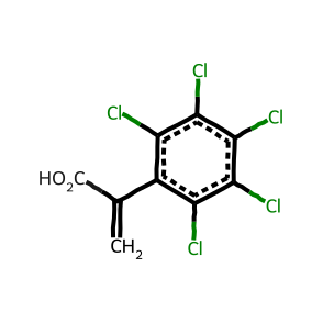 C=C(C(=O)O)c1c(Cl)c(Cl)c(Cl)c(Cl)c1Cl